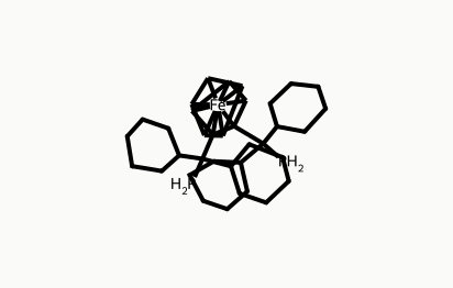 PC(C1CCCCC1)(C1CCCCC1)[C]12[CH]3[CH]4[CH]5[C]1(C(P)(C1CCCCC1)C1CCCCC1)[Fe]43521678[CH]2[CH]1[CH]6[CH]7[CH]28